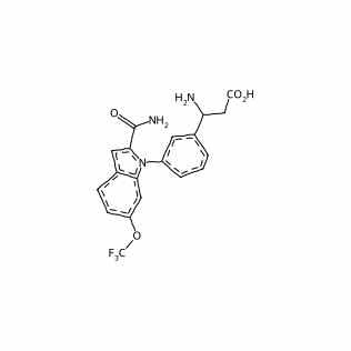 NC(=O)c1cc2ccc(OC(F)(F)F)cc2n1-c1cccc(C(N)CC(=O)O)c1